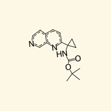 CC(C)(C)OC(=O)NC1(c2ccc3ccncc3n2)CC1